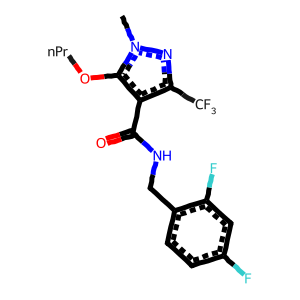 CCCOc1c(C(=O)NCc2ccc(F)cc2F)c(C(F)(F)F)nn1C